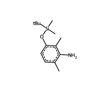 Cc1ccc(O[Si](C)(C)C(C)(C)C)c(C)c1N